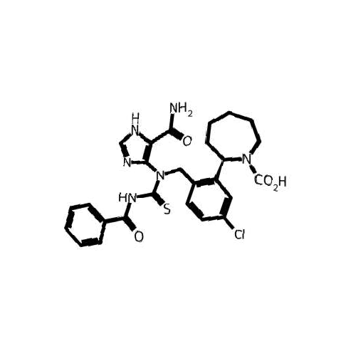 NC(=O)c1[nH]cnc1N(Cc1ccc(Cl)cc1[C@H]1CCCCCN1C(=O)O)C(=S)NC(=O)c1ccccc1